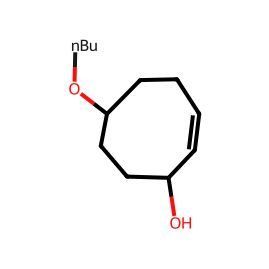 CCCCOC1CC/C=C\C(O)CC1